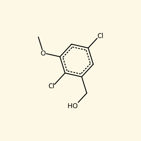 COc1cc(Cl)cc(CO)c1Cl